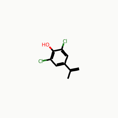 C=C(C)c1cc(Cl)c(O)c(Cl)c1